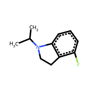 CC(C)N1CCc2c(F)cccc21